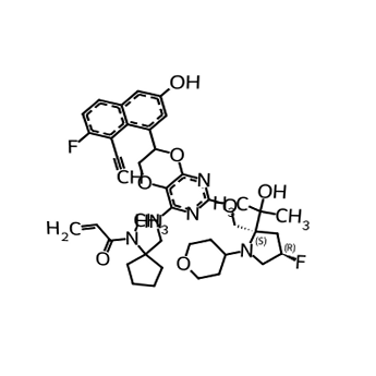 C#Cc1c(F)ccc2cc(O)cc(C3COc4c(NCC5(N(C)C(=O)C=C)CCCC5)nc(OC[C@]5(C(C)(C)O)C[C@@H](F)CN5C5CCOCC5)nc4O3)c12